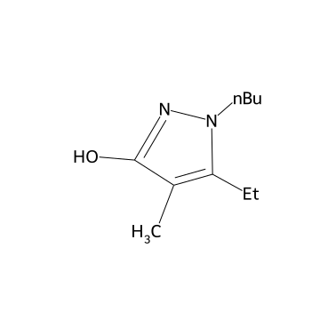 CCCCn1nc(O)c(C)c1CC